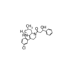 CC(C)CC1c2[nH]c3ccc(Cl)cc3c2CCN1C(=O)CC(O)c1ccccc1